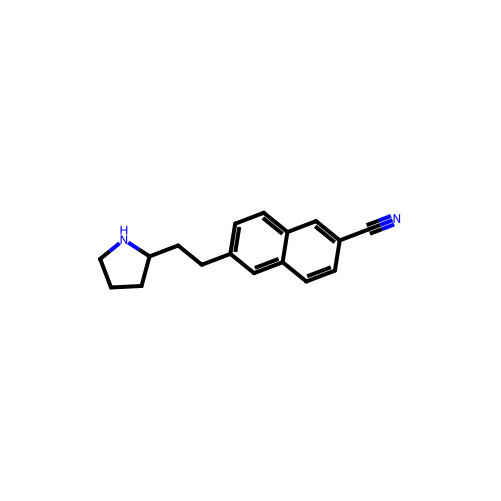 N#Cc1ccc2cc(CCC3CCCN3)ccc2c1